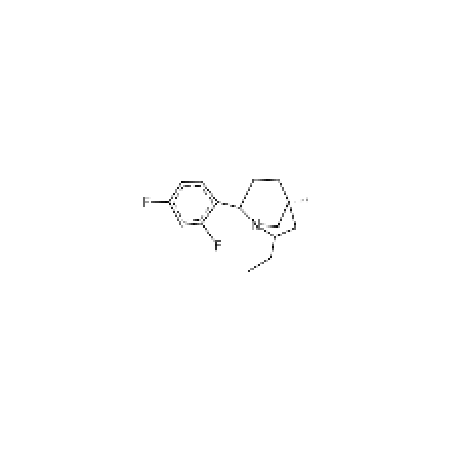 CCC1C[C@]2(C)CCC(c3ccc(F)cc3F)N1C2